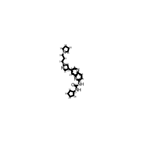 O=C(Nc1ccc2ncc(C3C=NN(CCCN4CCCC4)C3)cc2n1)NC1CCCC1